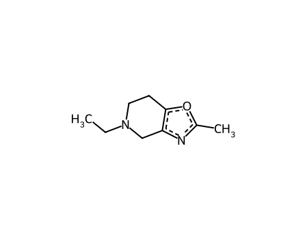 CCN1CCc2oc(C)nc2C1